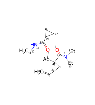 C=CC1CC1(C(C)=O)C(=O)N(CC)CC.C=CNC(=O)C1CC1